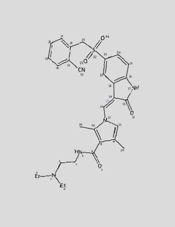 CCN(CC)CCNC(=O)c1c(C)cn(/C=C2\C(=O)Nc3ccc(S(=O)(=O)Cc4ccccc4C#N)cc32)c1C